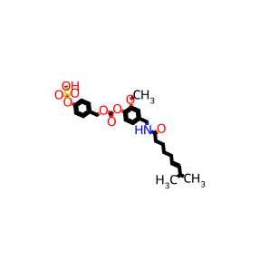 COc1cc(CNC(=O)CCCC/C=C/C(C)C)ccc1OC(=O)OCc1ccc(OS(=O)(=O)O)cc1